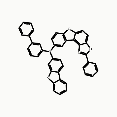 c1ccc(-c2cccc(N(c3ccc4c(c3)sc3ccccc34)c3ccc4oc5ccc6oc(-c7ccccc7)nc6c5c4c3)c2)cc1